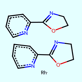 [Rh].c1ccc(C2=NCCO2)nc1.c1ccc(C2=NCCO2)nc1